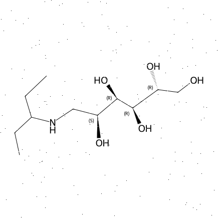 CCC(CC)NC[C@H](O)[C@@H](O)[C@H](O)[C@H](O)CO